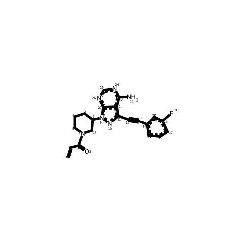 C=CC(=O)N1CCCC(n2nc(C#Cc3cccc(F)c3)c3c(N)ncnc32)C1